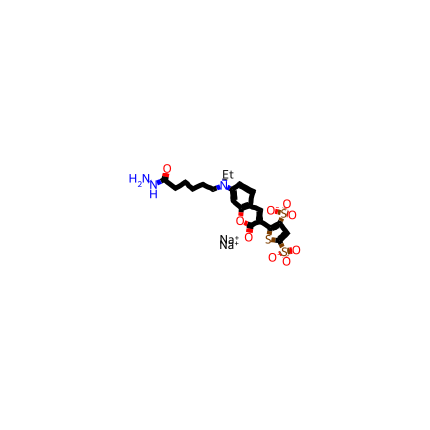 CCN(CCCCCC(=O)NN)c1ccc2cc(-c3sc(S(=O)(=O)[O-])cc3S(=O)(=O)[O-])c(=O)oc2c1.[Na+].[Na+]